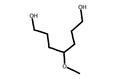 COC(CCCO)CCCO